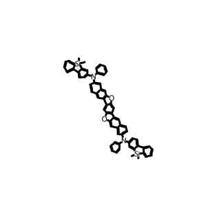 C[Si]1(C)c2ccccc2-c2ccc(N(c3ccccc3)c3ccc4cc5c(cc4c3)oc3cc4c(cc35)oc3cc5cc(N(c6ccccc6)c6ccc7c(c6)[Si](C)(C)c6ccccc6-7)ccc5cc34)cc21